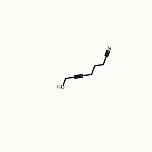 N#CCCCC#CCO